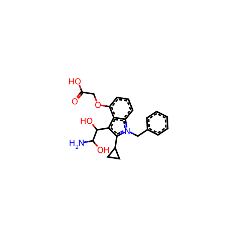 NC(O)C(O)c1c(C2CC2)n(Cc2ccccc2)c2cccc(OCC(=O)O)c12